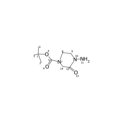 CC(C)(C)OC(=O)N1CCN(N)C(=O)C1